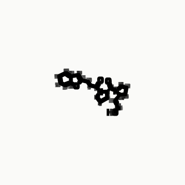 O=C([C@@H]1CCCN1C(=O)CCc1cc2ccccc2o1)N1CCC[C@H]1C=NO